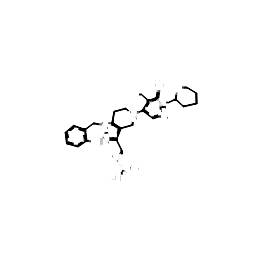 CC(C)(C)[S+]([O-])/N=C/c1nn(Cc2ccccc2C(F)(F)F)c2c1CN(c1cnn(C3CCCCO3)c(=O)c1Cl)CC2